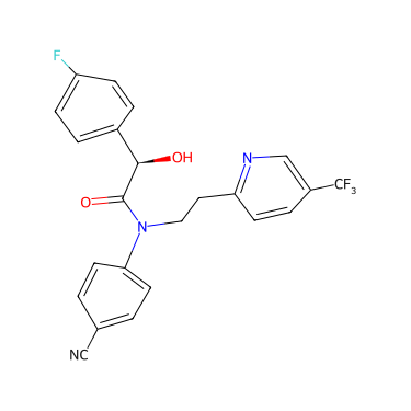 N#Cc1ccc(N(CCc2ccc(C(F)(F)F)cn2)C(=O)[C@H](O)c2ccc(F)cc2)cc1